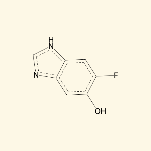 Oc1cc2nc[nH]c2cc1F